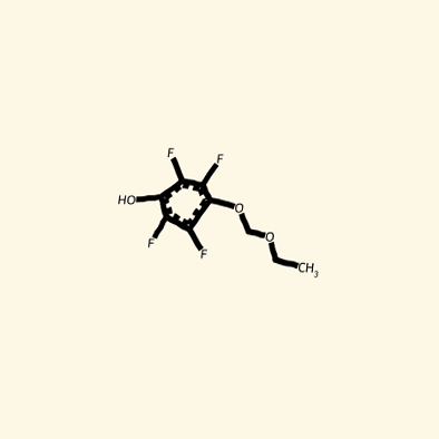 CCOCOc1c(F)c(F)c(O)c(F)c1F